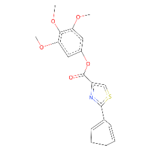 COc1cc(OC(=O)c2csc(C3=CCCC=C3)n2)cc(OC)c1OC